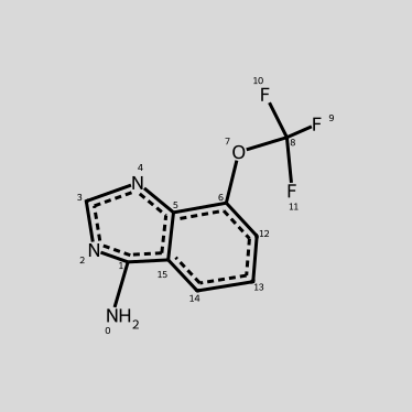 Nc1ncnc2c(OC(F)(F)F)cccc12